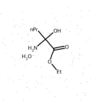 CCCC(N)(O)C(=O)OCC.O